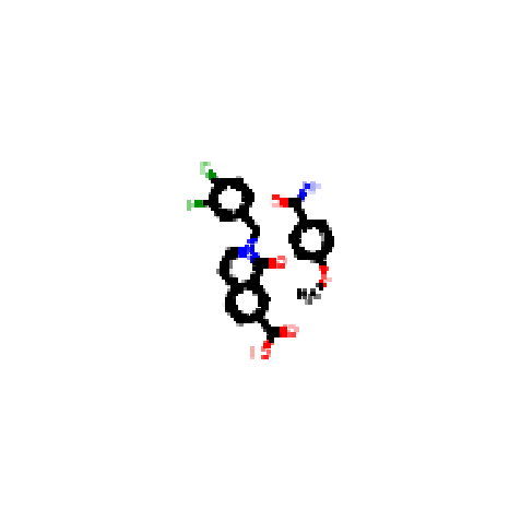 COc1ccc(C(N)=O)cc1.O=C(O)c1ccc2ccn(Cc3ccc(F)c(F)c3)c(=O)c2c1